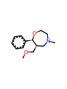 COC[C@@H]1CN(C)CCO[C@@H]1c1ccccc1